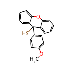 COc1ccc(C2(S)c3ccccc3Oc3ccccc32)cc1